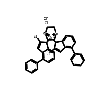 CCC1=Cc2c(-c3ccccc3)cccc2[CH]1[Zr+2]1([CH]2C(CC)=Cc3c(-c4ccccc4)cccc32)=[Si]2CC[Si]=1CC2.[Cl-].[Cl-]